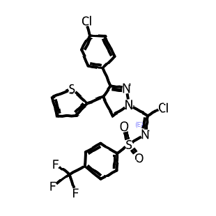 O=S(=O)(/N=C(/Cl)N1CC(c2cccs2)C(c2ccc(Cl)cc2)=N1)c1ccc(C(F)(F)F)cc1